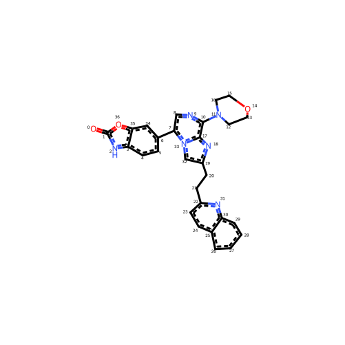 O=c1[nH]c2ccc(-c3cnc(N4CCOCC4)c4nc(CCc5ccc6ccccc6n5)cn34)cc2o1